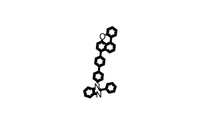 c1ccc(-c2nc3ccccc3n2-c2ccc(-c3ccc(-c4ccc5c6c(cccc46)-c4ccccc4O5)cc3)cc2)cc1